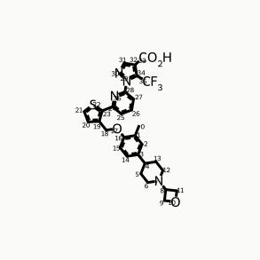 Cc1cc(C2CCN(C3COC3)CC2)ccc1OCc1ccsc1-c1cccc(-n2ncc(C(=O)O)c2C(F)(F)F)n1